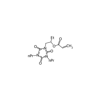 C=CC(=O)OC(CC)Cn1c(=O)n(CCC)c(=O)n(CCC)c1=O